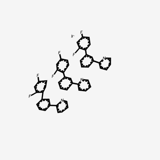 Fc1ccc(-c2cccc(-c3ccccn3)c2)c(F)c1.Fc1ccc(-c2cccc(-c3ccccn3)c2)c(F)c1.Fc1ccc(-c2cccc(-c3ccccn3)c2)c(F)c1.[Ir]